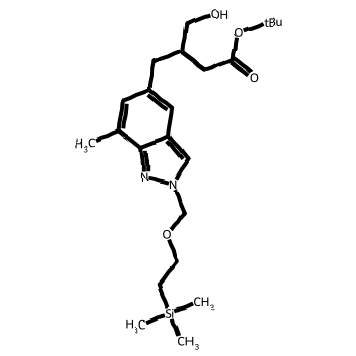 Cc1cc(CC(CO)CC(=O)OC(C)(C)C)cc2cn(COCC[Si](C)(C)C)nc12